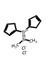 C[SiH](C)[Ti+2]([C]1=CC=CC1)[C]1=CC=CC1.[Cl-].[Cl-]